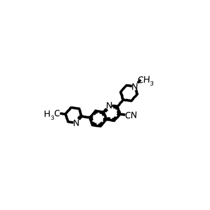 CC1CCC(c2ccc3cc(C#N)c(C4CCN(C)CC4)nc3c2)=NC1